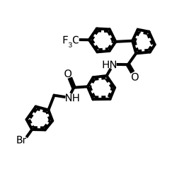 O=C(NCc1ccc(Br)cc1)c1cccc(NC(=O)c2ccccc2-c2ccc(C(F)(F)F)cc2)c1